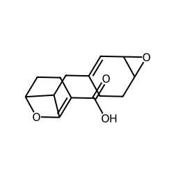 O=C(O)C1=C2OC(CC1)C2CC1=CC2OC2CC1